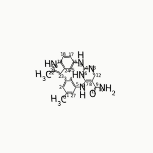 Cc1cccc(NC2=C(C(N)=O)C=NC(Nc3ccc4[nH]c(C)cc4c3)N2)c1